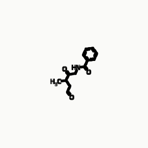 CC(CC=O)C(=O)CNC(=O)c1ccccc1